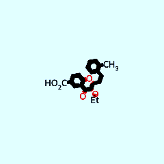 CCOc1c(/C=C\c2ccccc2C)oc2ccc(C(=O)O)cc2c1=O